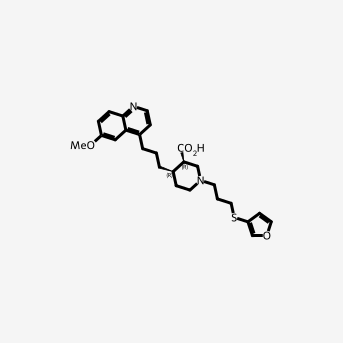 COc1ccc2nccc(CCC[C@@H]3CCN(CCCSc4ccoc4)C[C@@H]3C(=O)O)c2c1